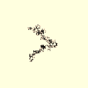 COC(=O)c1ccccc1CNC(=O)[C@@H](N)CCC(=O)N1CCC(Nc2nc(NCc3cn(CCCNCCCNC4CCCCC4)nn3)nc3ccccc23)CC1